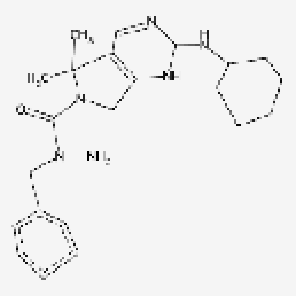 CC1(C)C2=C(CN1C(=O)N(N)Cc1ccccc1)NC(NC1CCCCC1)N=C2